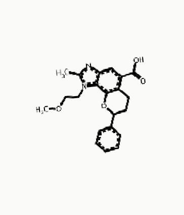 COCCn1c(C)nc2cc(C(=O)O)c3c(c21)OC(c1ccccc1)CC3